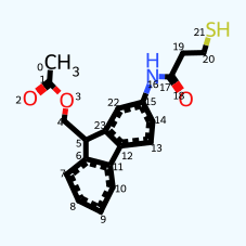 CC(=O)OCC1c2ccccc2-c2ccc(NC(=O)CCS)cc21